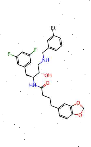 CCc1cccc(CNC[C@H](O)[C@H](Cc2cc(F)cc(F)c2)NC(=O)CCCc2ccc3c(c2)OCO3)c1